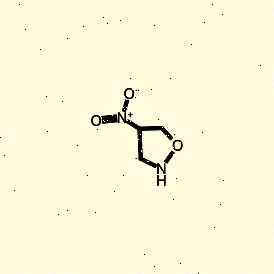 O=[N+]([O-])C1[CH]NOC1